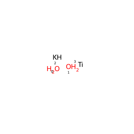 O.O.[KH].[Ti]